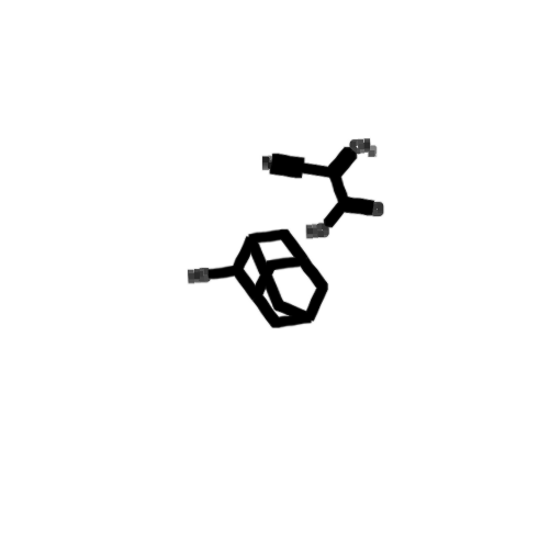 C=C(C#N)C(=O)O.OC1C2CC3CC(C2)CC1C3